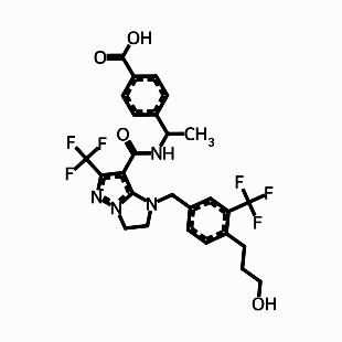 CC(NC(=O)c1c(C(F)(F)F)nn2c1N(Cc1ccc(CCCO)c(C(F)(F)F)c1)CC2)c1ccc(C(=O)O)cc1